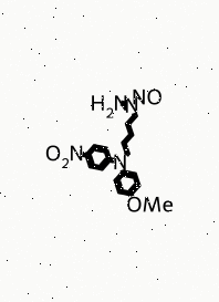 COc1ccc(N(CCCCCN(N)N=O)c2ccc([N+](=O)[O-])cc2)cc1